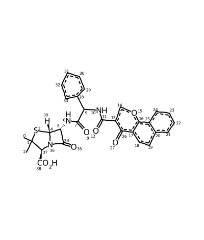 CC1(C)S[C@@H]2[C@H](NC(=O)C(NC(=O)c3coc4c(ccc5ccccc54)c3=O)c3ccccc3)C(=O)N2[C@H]1C(=O)O